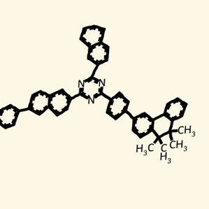 CC1(C)c2ccccc2-c2cc(-c3ccc(-c4nc(-c5ccc6ccccc6c5)nc(-c5ccc6cc(-c7ccccc7)ccc6c5)n4)cc3)ccc2C1(C)C